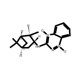 C[C@@H]1[C@H]2C[C@@H](C[C@H]1Nc1n[n+]([O-])c3ccccc3[n+]1[O-])C2(C)C